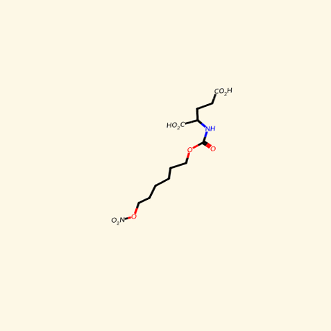 O=C(O)CCC(NC(=O)OCCCCCCO[N+](=O)[O-])C(=O)O